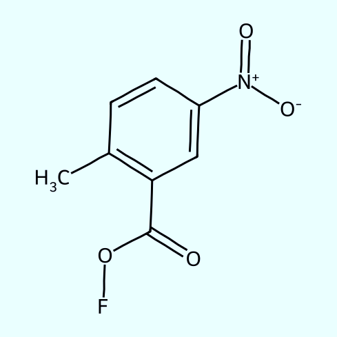 Cc1ccc([N+](=O)[O-])cc1C(=O)OF